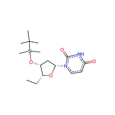 CC[C@H]1O[C@@H](n2ccc(=O)[nH]c2=O)C[C@H]1O[Si](C)(C)C(C)(C)C